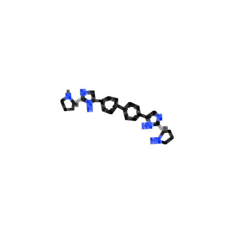 CN1CCC[C@H]1c1ncc(-c2ccc(-c3ccc(-c4cnc([C@@H]5CCCN5)[nH]4)cc3)cc2)[nH]1